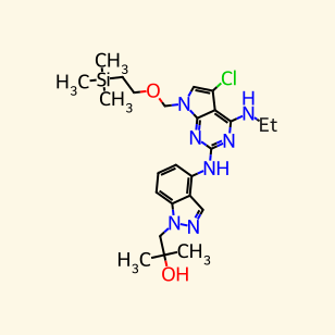 CCNc1nc(Nc2cccc3c2cnn3CC(C)(C)O)nc2c1c(Cl)cn2COCC[Si](C)(C)C